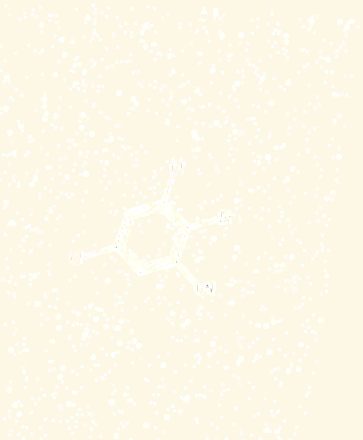 N#Cc1cc(Cl)cc(Cl)c1Br